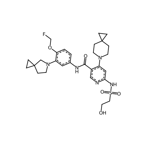 O=C(Nc1ccc(OCF)c(N2CCC3(CC3)C2)c1)c1cnc(NS(=O)(=O)CCO)cc1N1CCC2(CC1)CC2